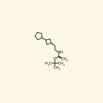 C=C(NCCN1CC(N2CCCC2)C1)OC(C)(C)C